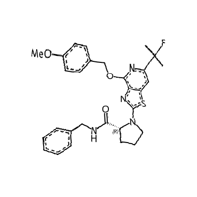 COc1ccc(COc2nc(C(C)(C)F)cc3sc(N4CCC[C@@H]4C(=O)NCc4ccccc4)nc23)cc1